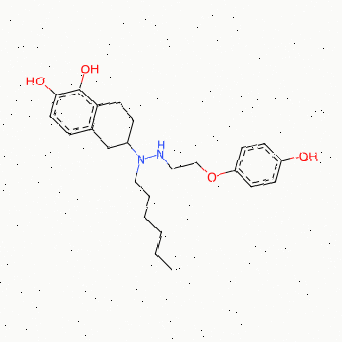 CCCCCCN(NCCOc1ccc(O)cc1)C1CCc2c(ccc(O)c2O)C1